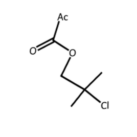 CC(=O)C(=O)OCC(C)(C)Cl